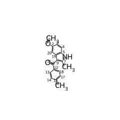 COc1ccc2[nH]c(C)c(C(=O)c3ccc(C)cc3)c2c1